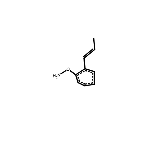 C/C=C/c1ccccc1ON